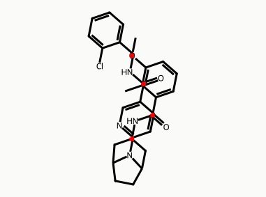 COc1cccc(C(=O)NC2CC3CCC(C2)N3c2ccc(C(=O)NCc3ccccc3Cl)cn2)c1C